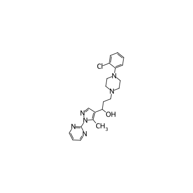 Cc1c(C(O)CCN2CCN(c3ccccc3Cl)CC2)cnn1-c1ncccn1